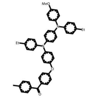 CCc1ccc(N(c2ccc(OC)cc2)c2ccc(N(c3ccc(CC)cc3)c3ccc(Oc4ccc(C(=O)c5ccc(C)cc5)cc4)cc3)cc2)cc1